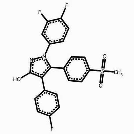 CS(=O)(=O)c1ccc(-c2c(-c3ccc(F)cc3)c(O)nn2-c2ccc(F)c(F)c2)cc1